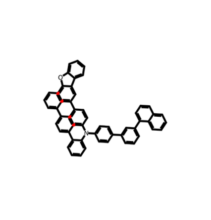 c1ccc(-c2ccc(-c3ccccc3N(c3ccc(-c4cccc(-c5cccc6ccccc56)c4)cc3)c3ccc(-c4ccc5oc6ccccc6c5c4)cc3)cc2)cc1